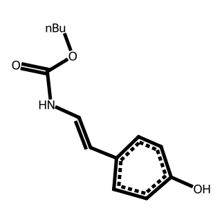 CCCCOC(=O)NC=Cc1ccc(O)cc1